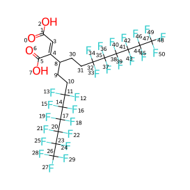 O=C(O)/C=C(\C(=O)O)C(CCC(F)(F)C(F)(F)C(F)(F)C(F)(F)C(F)(F)C(F)(F)F)CCC(F)(F)C(F)(F)C(F)(F)C(F)(F)C(F)(F)C(F)(F)F